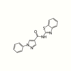 O=C(Nc1nc2ccccc2s1)c1cnn(-c2ccccc2)c1